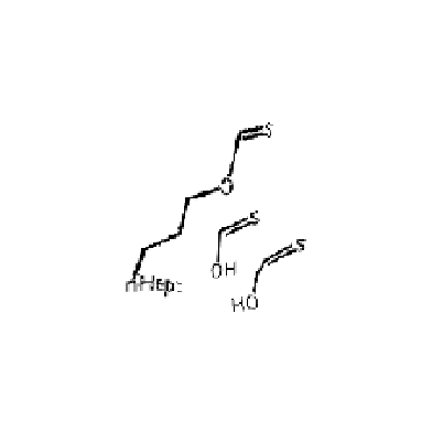 CCCCCCCCCCOC=S.OC=S.OC=S